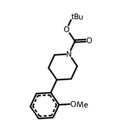 COc1ccccc1C1CCN(C(=O)OC(C)(C)C)CC1